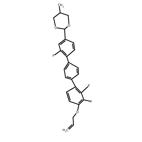 C=CCOc1ccc(-c2ccc(-c3ccc(C4OCC(C)CO4)cc3F)cc2)c(F)c1F